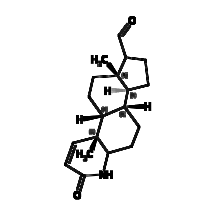 C[C@]12C=CC(=O)NC1CC[C@@H]1[C@H]2CC[C@]2(C)C(C=O)CC[C@@H]12